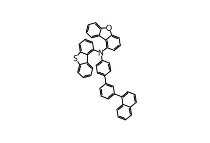 c1cc(-c2ccc(N(c3cccc4oc5ccccc5c34)c3cccc4sc5ccccc5c34)cc2)cc(-c2cccc3ccccc23)c1